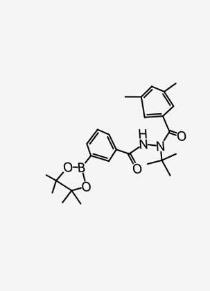 Cc1cc(C)cc(C(=O)N(NC(=O)c2cccc(B3OC(C)(C)C(C)(C)O3)c2)C(C)(C)C)c1